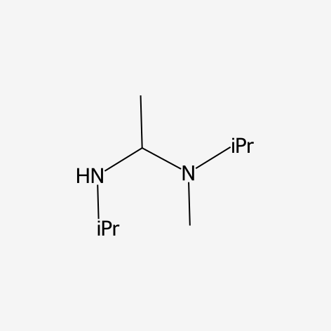 CC(C)NC(C)N(C)C(C)C